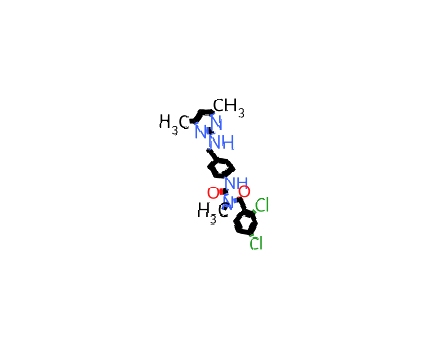 Cc1cc(C)nc(NCc2ccc(NC(=O)N(C)C(=O)c3ccc(Cl)cc3Cl)cc2)n1